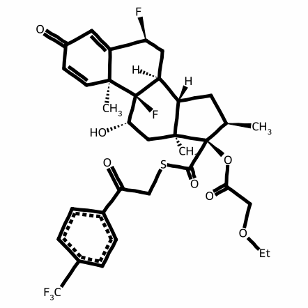 CCOCC(=O)O[C@]1(C(=O)SCC(=O)c2ccc(C(F)(F)F)cc2)[C@H](C)C[C@H]2[C@@H]3C[C@H](F)C4=CC(=O)C=C[C@]4(C)[C@@]3(F)[C@@H](O)C[C@@]21C